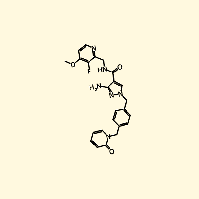 COc1ccnc(CNC(=O)c2cn(Cc3ccc(Cn4ccccc4=O)cc3)nc2N)c1F